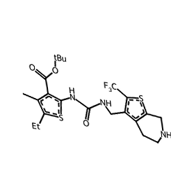 CCc1sc(NC(=O)NCc2c(C(F)(F)F)sc3c2CCNC3)c(C(=O)OC(C)(C)C)c1C